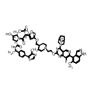 Cc1ccc2[nH]ncc2c1-c1ncc2c(N3CC4CCC(C3)N4)nc(OCCN3CCC(COc4cc([C@H](C(=O)N5C[C@H](O)C[C@H]5C(=O)N[C@@H](C)c5ccc(-c6scnc6C)cc5)C(C)C)on4)CC3)nc2c1F